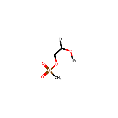 CCC(COS(C)(=O)=O)OC(C)C